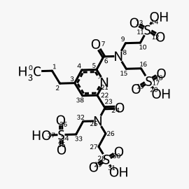 CCCc1cc(C(=O)N(CCS(=O)(=O)O)CCS(=O)(=O)O)nc(C(=O)N(CCS(=O)(=O)O)CCS(=O)(=O)O)c1